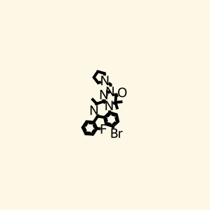 CC1N=C(c2ccccc2F)c2cc(Br)ccc2N2C1=NN(CN1CCCC1)C(=O)C2(C)C